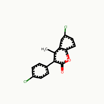 Cc1c(-c2ccc(Cl)cc2)c(=O)oc2ccc(Cl)cc12